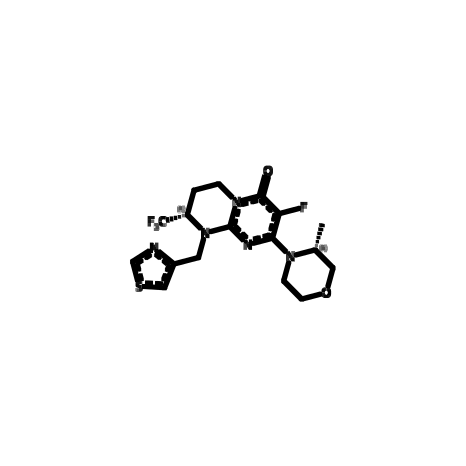 C[C@@H]1COCCN1c1nc2n(c(=O)c1F)CC[C@@H](C(F)(F)F)N2Cc1cscn1